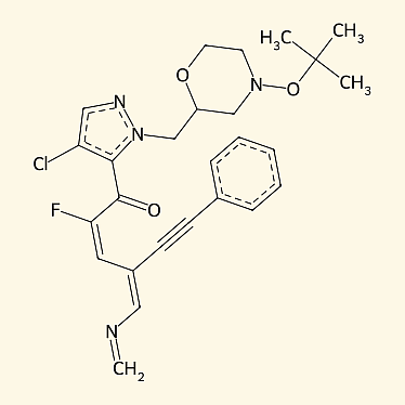 C=N/C=C(C#Cc1ccccc1)\C=C(\F)C(=O)c1c(Cl)cnn1CC1CN(OC(C)(C)C)CCO1